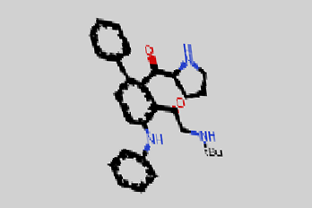 CC(C)(C)NCC(=O)c1c(Nc2ccccc2)ccc(-c2ccccc2)c1C(=O)C1CCCN1